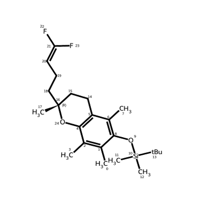 Cc1c(C)c2c(c(C)c1O[Si](C)(C)C(C)(C)C)CC[C@@](C)(CCC=C(F)F)O2